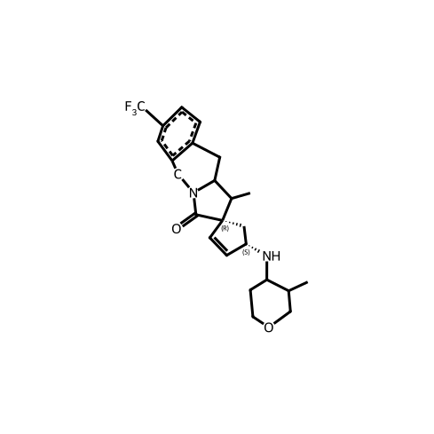 CC1COCCC1N[C@@H]1C=C[C@@]2(C1)C(=O)N1Cc3cc(C(F)(F)F)ccc3CC1C2C